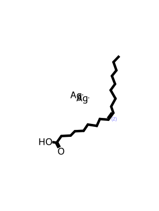 CCCCCCCC/C=C\CCCCCCCC(=O)O.[Ag].[Ag]